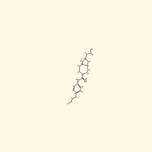 CCCCc1ccc(OC(=O)C2CCC3CC(CCC)CC3CC2)cc1